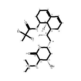 CCC(C)(CC)C(=O)O[C@H]1CCC=C2C=CC[C@@H]([C@@H](C)C[C@@H]3C[C@H](C(C)(C)C)C(O[SiH](C)C)C(=O)O3)[C@H]21